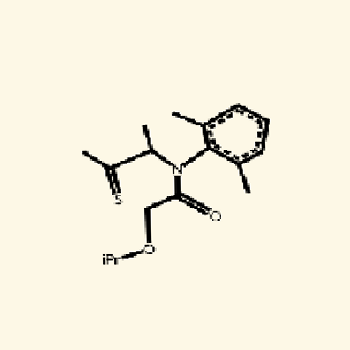 CC(=S)C(C)N(C(=O)COC(C)C)c1c(C)cccc1C